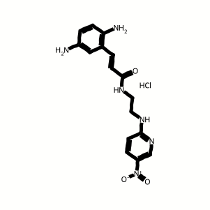 Cl.Nc1ccc(N)c(C=CC(=O)NCCNc2ccc([N+](=O)[O-])cn2)c1